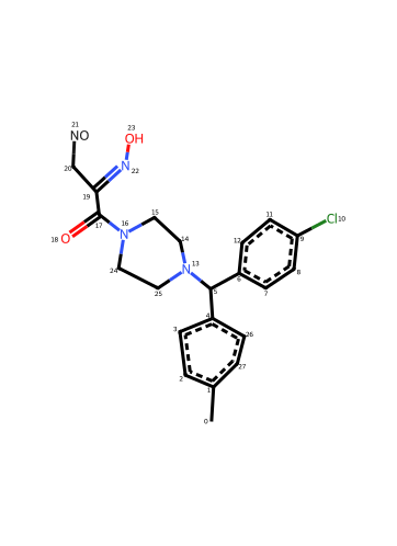 Cc1ccc(C(c2ccc(Cl)cc2)N2CCN(C(=O)C(CN=O)=NO)CC2)cc1